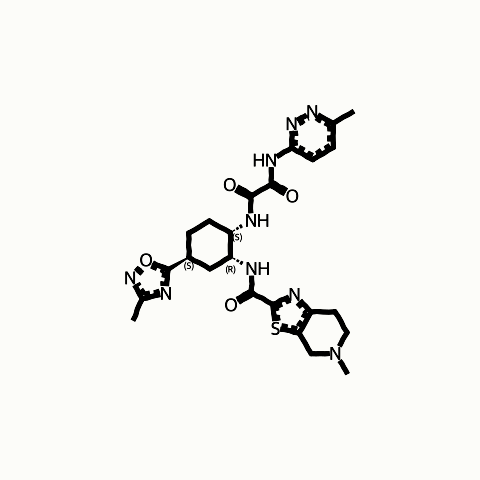 Cc1ccc(NC(=O)C(=O)N[C@H]2CC[C@H](c3nc(C)no3)C[C@H]2NC(=O)c2nc3c(s2)CN(C)CC3)nn1